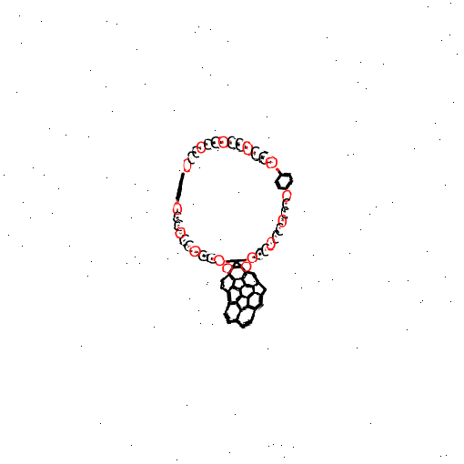 O=C1OCCOCCOCCOc2ccc(cc2)OCCOCCOCCOCCOc2ccc(cc2)OCCOCCOCCOC(=O)C12C1c3ccc4c5c6c7c8c9c%10c(cc(c%11c%10c7c4c3-%11)C12)CC9=CC1C=CC(C=C5)C6C81